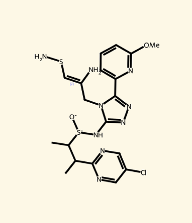 COc1cccc(-c2nnc(N[S+]([O-])C(C)C(C)c3ncc(Cl)cn3)n2C/C(N)=C/SN)n1